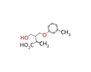 C=C(C(=O)O)C(CO)COc1cccc(C)c1